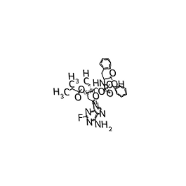 C#C[C@]1(CO[P@@](=O)(NC(Cc2ccccc2)C(=O)O)Oc2ccccc2)O[C@@H](n2cnc3c(N)nc(F)nc32)C[C@@H]1OC(=O)C(C)C